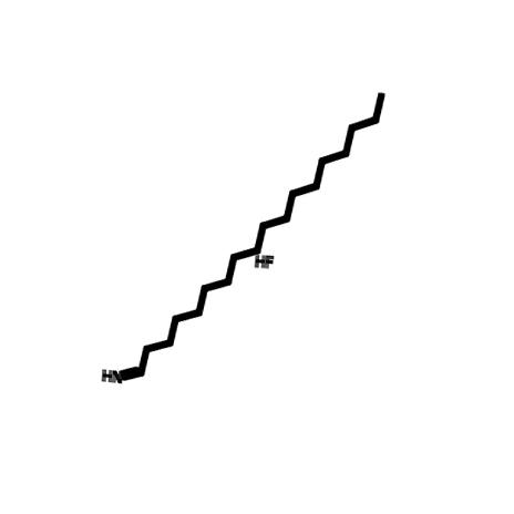 CCCCCCCCCCCCCCCCCC=N.F